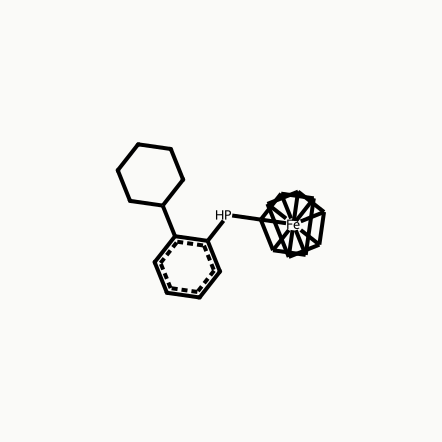 c1ccc(C2CCCCC2)c(P[C]23[CH]4[CH]5[CH]6[CH]2[Fe]56432789[CH]3[CH]2[CH]7[CH]8[CH]39)c1